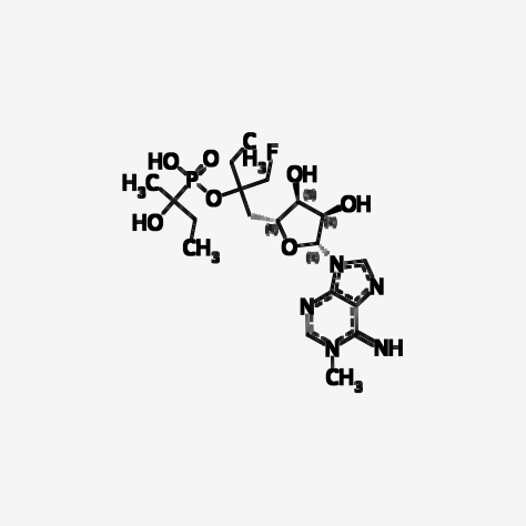 CCC(CF)(C[C@H]1O[C@@H](n2cnc3c(=N)n(C)cnc32)[C@H](O)[C@@H]1O)OP(=O)(O)C(C)(O)CC